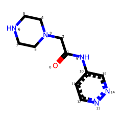 O=C(CN1CCNCC1)Nc1ccnnc1